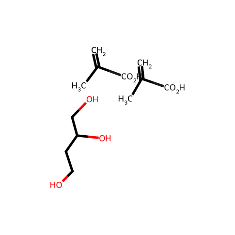 C=C(C)C(=O)O.C=C(C)C(=O)O.OCCC(O)CO